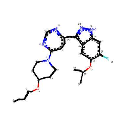 CCCOC1CCN(c2cc(-c3n[nH]c4cc(F)c(OC(C)C)cc34)ncn2)CC1